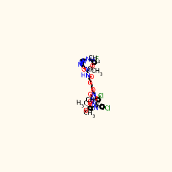 COc1ccc(C2=N[C@H](c3ccc(Cl)cc3)[C@H](c3ccc(Cl)cc3)N2C(=O)N2CCN(CCOCCOCCC(=O)NCCN3C[C@H](C)Oc4ccc(F)cc4[C@H](C)Nc4ccn5ncc(c5n4)C3=O)C(=O)C2)c(OC(C)C)c1